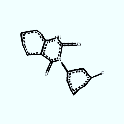 O=c1[nH]c2ccccc2c(=O)n1-c1cccc(F)c1